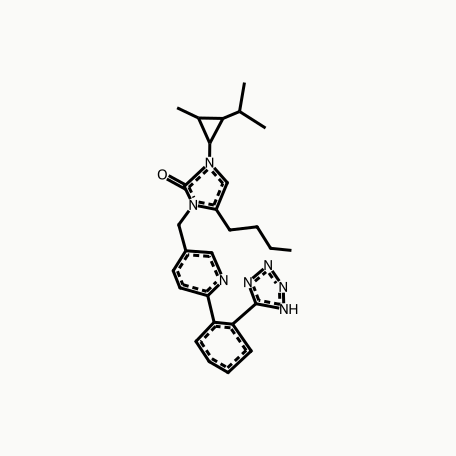 CCCCc1cn(C2C(C)C2C(C)C)c(=O)n1Cc1ccc(-c2ccccc2-c2nnn[nH]2)nc1